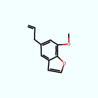 C=CCc1cc(OC)c2occc2c1